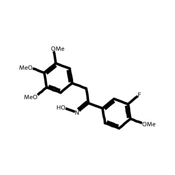 COc1ccc(C(Cc2cc(OC)c(OC)c(OC)c2)=NO)cc1F